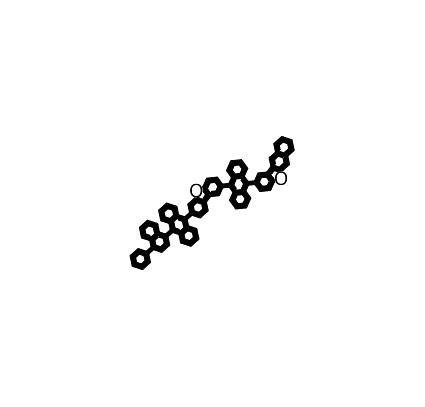 c1ccc(-c2ccc(-c3c4ccccc4c(-c4ccc5c(c4)oc4ccc(-c6c7ccccc7c(-c7ccc8oc9cc%10ccccc%10cc9c8c7)c7ccccc67)cc45)c4ccccc34)c3ccccc23)cc1